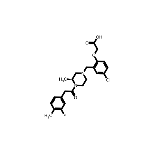 Cc1ccc(CC(=O)N2CCN(Cc3cc(Cl)ccc3OCC(=O)O)C[C@@H]2C)cc1F